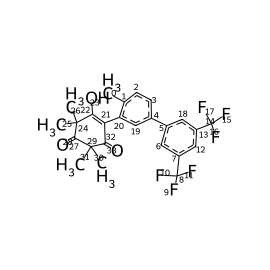 Cc1ccc(-c2cc(C(F)(F)F)cc(C(F)(F)F)c2)cc1C1=C(O)C(C)(C)C(=O)C(C)(C)C1=O